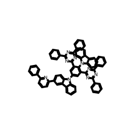 c1ccc(-c2cccc(-c3ccc4c(c3)c3ccccc3n4-c3cc(-c4nc(-c5ccccc5)nc(-c5ccccc5)n4)c(-n4c5ccccc5c5ccccc54)c(-c4nc(-c5ccccc5)nc(-c5ccccc5)n4)c3)n2)cc1